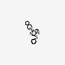 c1ccc(Sc2cnc(N3CCC4(CCCC4)CC3)n3ccnc23)cc1